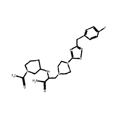 NC(=O)C(CN1CCN(c2nc(Cc3ccc(F)cc3)ns2)CC1)NC1CCCN(C(=O)C(F)(F)F)C1